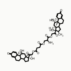 C[C@@H]1CC2C3CCC4=CC(=O)C=C[C@]4(C)[C@@]3(F)[C@@H](O)C[C@]2(C)[C@@]1(O)C(=O)COC(=O)C(N)COC(=O)CCC(=O)OCC(=O)[C@@]1(O)CCC2C3CCC4=CC(=O)C=C[C@]4(C)C3[C@@H](O)C[C@@]21C